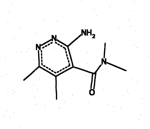 Cc1nnc(N)c(C(=O)N(C)C)c1C